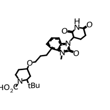 Cn1c(=O)n(C2CCC(=O)NC2=O)c2cccc(CCCOC3CCN(C(=O)O)C(C(C)(C)C)C3)c21